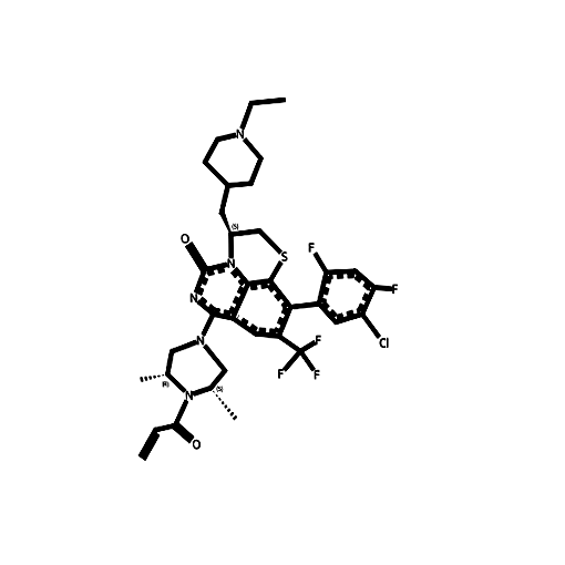 C=CC(=O)N1[C@H](C)CN(c2nc(=O)n3c4c(c(-c5cc(Cl)c(F)cc5F)c(C(F)(F)F)cc24)SC[C@@H]3CC2CCN(CC)CC2)C[C@@H]1C